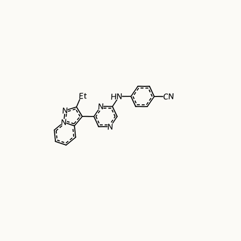 CCc1nn2ccccc2c1-c1cncc(Nc2ccc(C#N)cc2)n1